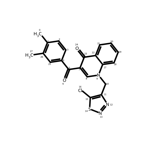 Cc1ccc(C(=O)c2cn(Cc3nnsc3Cl)c3ccccc3c2=O)cc1C